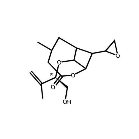 C=C(C)[C@H](CO)OC1C2CC(C)CC(=O)OC1C2C1CO1